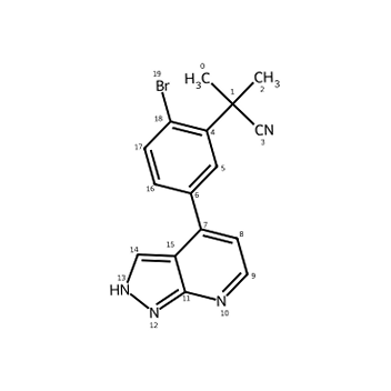 CC(C)(C#N)c1cc(-c2ccnc3n[nH]cc23)ccc1Br